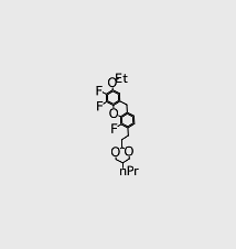 CCCC1COC(CCc2ccc3c(c2F)Oc2c(cc(OCC)c(F)c2F)C3)OC1